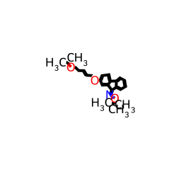 CC(C)OCC/C=C/COc1ccc2c(c1)/C(=N/OC(C)(C)C)c1ccccc1-2